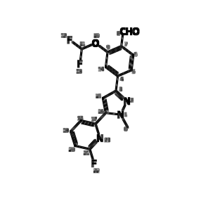 Cn1nc(-c2ccc(C=O)c(OC(F)F)c2)cc1-c1cccc(F)n1